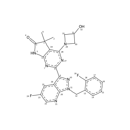 CC1(C)C(=O)Nc2nc(-c3nn(Cc4ccccc4F)c4ncc(F)cc34)nc(N3CC(O)C3)c21